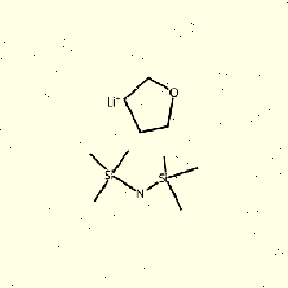 C1CCOC1.C[Si](C)(C)[N-][Si](C)(C)C.[Li+]